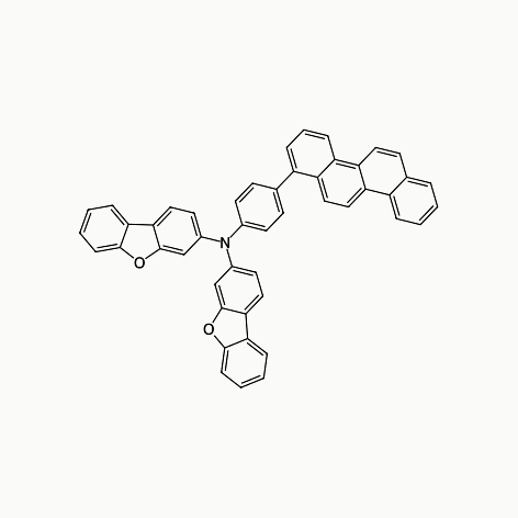 c1ccc2c(c1)ccc1c3cccc(-c4ccc(N(c5ccc6c(c5)oc5ccccc56)c5ccc6c(c5)oc5ccccc56)cc4)c3ccc21